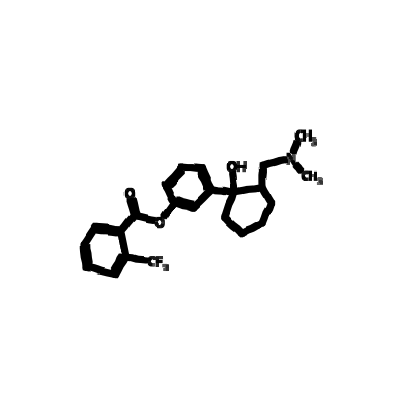 CN(C)CC1CCCCC1(O)c1cccc(OC(=O)c2ccccc2C(F)(F)F)c1